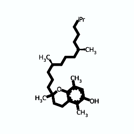 Cc1cc(O)c(C)c2c1OC(C)(CCC[C@@H](C)CCC[C@H](C)CCCC(C)C)CC2